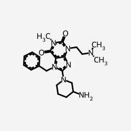 CN(C)CCn1c(=O)n(C)c(=O)c2c1nc(N1CCCC(N)C1)n2Cc1ccccc1